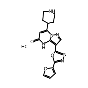 Cl.O=c1cc(C2CCNCC2)n2ncc(-c3nnc(-c4ccco4)o3)c2[nH]1